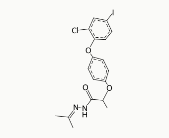 CC(C)=NNC(=O)C(C)Oc1ccc(Oc2ccc(I)cc2Cl)cc1